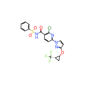 O=C(NS(=O)(=O)c1ccccc1)c1ccc(-n2ccc(O[C@H]3C[C@@H]3C(F)(F)F)n2)nc1Cl